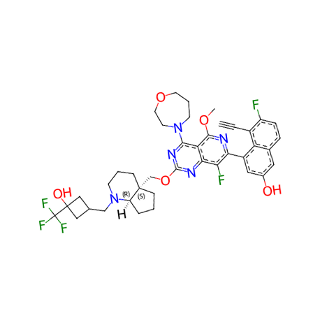 C#Cc1c(F)ccc2cc(O)cc(-c3nc(OC)c4c(N5CCCOCC5)nc(OC[C@]56CCC[C@H]5N(CC5CC(O)(C(F)(F)F)C5)CCC6)nc4c3F)c12